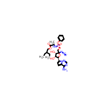 CCC(CC)COC(=O)[C@H](C)NP(=O)(OCC1(N=[N+]=[N-])O[C@@H](c2ccc3c(N)ncnn23)[C@H](O)[C@@H]1O)Oc1ccccc1